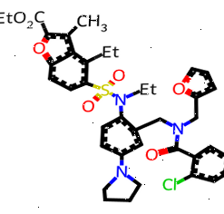 CCOC(=O)c1oc2ccc(S(=O)(=O)N(CC)c3ccc(N4CCCC4)cc3CN(Cc3ccco3)C(=O)c3ccccc3Cl)c(CC)c2c1C